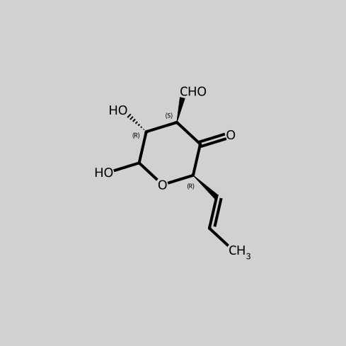 CC=C[C@H]1OC(O)[C@H](O)[C@@H](C=O)C1=O